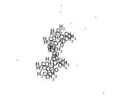 Cc1cc(C2C(=O)Oc3c2cc(C(C)(C)C)cc3C(C)(C)C)cc(C(C)(C)C)c1OP1OCC2(CO1)COP(=O)(Oc1c(C)cc(C3C(=O)Oc4c3cc(C(C)(C)C)cc4C(C)(C)C)cc1C(C)(C)C)OC2